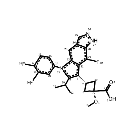 CO[C@]1(C(=O)O)C[C@H](c2c(C(C)C)n(-c3ccc(F)c(F)c3)c3cc4cn[nH]c4c(F)c32)C1